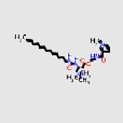 CCCCCCCCCCCCCCNC(=O)N[C@H](CC(=O)OCCNC(=O)C1=CN(C)C=CC1)C[N+](C)(C)C